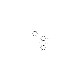 CCC(C)c1ccc(Nc2ccc(N)c3c2C(=O)c2ccccc2C3=O)cc1